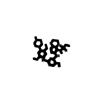 C=Cc1cnc(Nc2cc(CC)c(N3CCN(C)CC3)cc2OC)nc1Nc1ccc2c(c1N(C)S(=O)(=O)CC)OCCO2